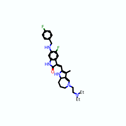 CCN(CC)CCN1C=C2C(C)=C(/C=C3\C(=O)Nc4cc(NCc5ccc(F)cc5)c(F)cc43)NC2CCC1